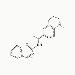 CC(NC(=O)/C=C\c1ccccc1)c1ccc2c(c1)CCCN2C